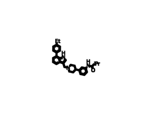 CCc1ccc(-c2cccc3c(CN4CCC(c5cccc(NC(=O)C(C)C)c5)CC4)c[nH]c23)cc1